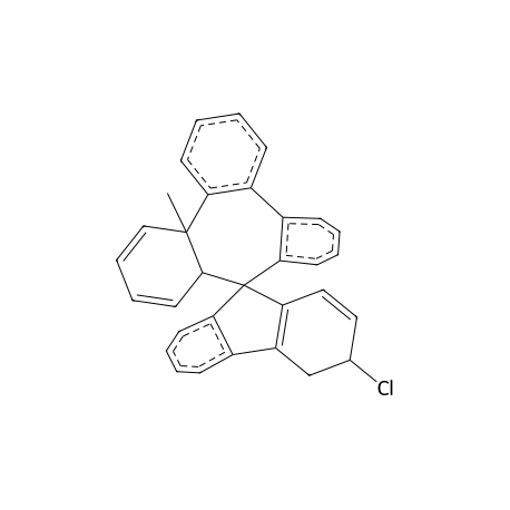 CC12C=CC=CC1C1(C3=C(CC(Cl)C=C3)c3ccccc31)c1ccccc1-c1ccccc12